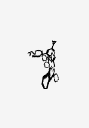 CN1CCC(O)(c2cc(C3CC3)cn3cc(CN4C(=O)c5ccccc5C4=O)nc23)CC1